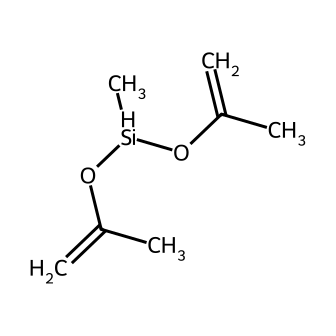 C=C(C)O[SiH](C)OC(=C)C